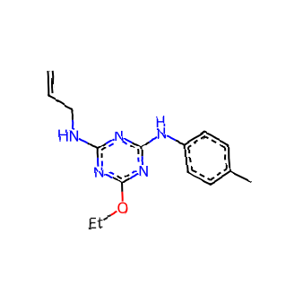 C=CCNc1nc(Nc2ccc(C)cc2)nc(OCC)n1